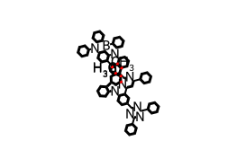 CC(C)(C)c1ccc2c(c1)c1ccccc1n2-c1ccc(-c2nc(-c3ccccc3)nc(-c3ccccc3)n2)cc1-c1cc(-c2ccccc2)nc(-c2ccc(-c3ccc4c5c3N(c3ccccc3)c3ccccc3B5c3ccccc3N4c3ccccc3)cc2)n1